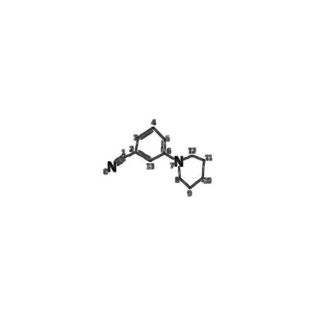 N#Cc1cccc(N2CC[CH]CC2)c1